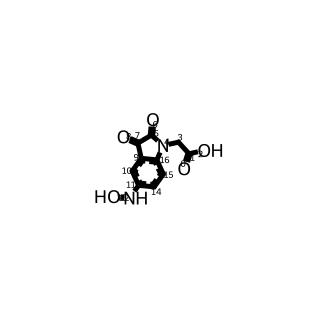 O=C(O)CN1C(=O)C(=O)c2cc(NO)ccc21